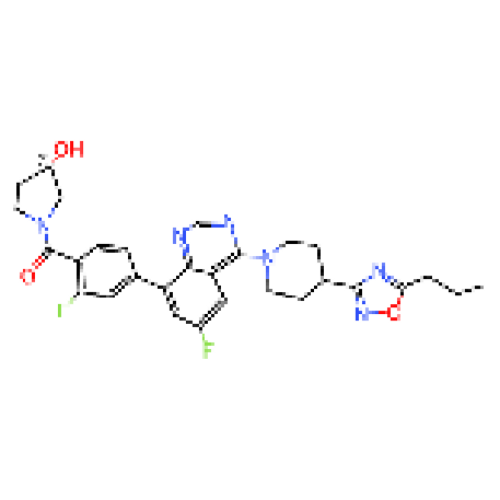 CCCc1nc(C2CCN(c3ncnc4c(-c5ccc(C(=O)N6CC[C@H](O)C6)c(F)c5)cc(F)cc34)CC2)no1